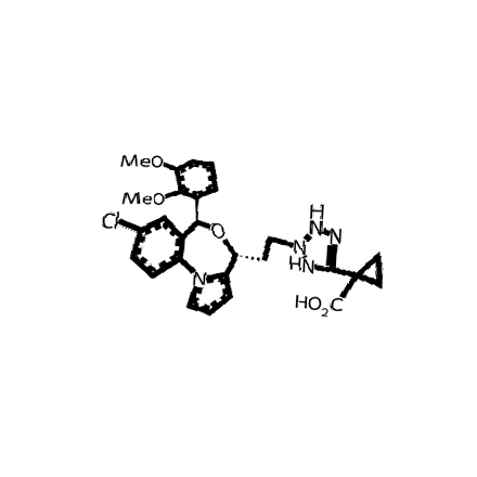 COc1cccc([C@H]2O[C@H](CCN3NN=C(C4(C(=O)O)CC4)N3)c3cccn3-c3ccc(Cl)cc32)c1OC